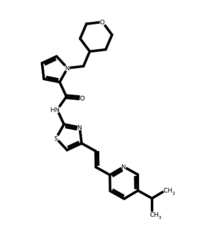 CC(C)c1ccc(C=Cc2csc(NC(=O)c3cccn3CC3CCOCC3)n2)nc1